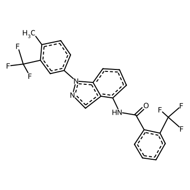 Cc1ccc(-n2ncc3c(NC(=O)c4ccccc4C(F)(F)F)cccc32)cc1C(F)(F)F